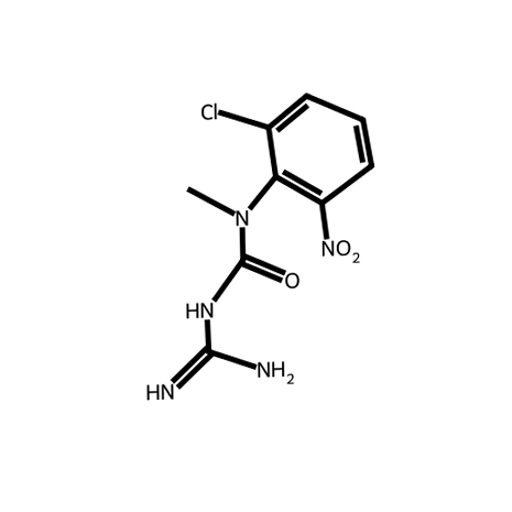 CN(C(=O)NC(=N)N)c1c(Cl)cccc1[N+](=O)[O-]